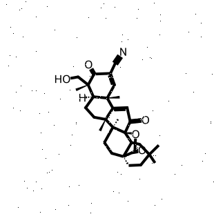 CC1(C)CC[C@@]23CC[C@@]4(C)[C@]5(C)CC[C@@H]6[C@](C)(C=C(C#N)C(=O)[C@@]6(C)CO)C5=CC(=O)[C@]4(OC2=O)C3C1